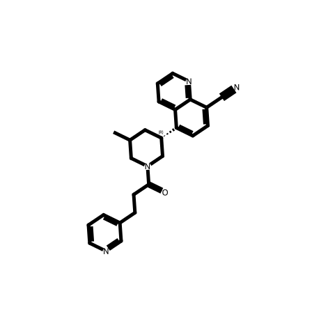 CC1C[C@H](c2ccc(C#N)c3ncccc23)CN(C(=O)CCc2cccnc2)C1